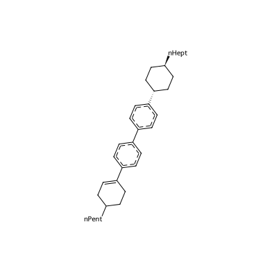 CCCCCCC[C@H]1CC[C@H](c2ccc(-c3ccc(C4=CCC(CCCCC)CC4)cc3)cc2)CC1